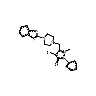 Cn1c(CN2CCN(c3nc4ccccc4s3)CC2)c(Cl)c(=O)n1-c1ccccc1